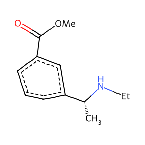 CCN[C@H](C)c1cccc(C(=O)OC)c1